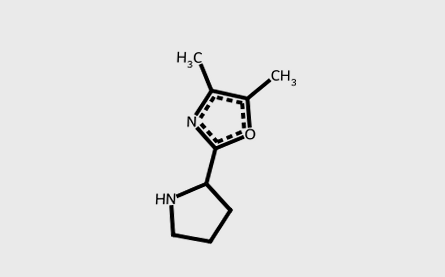 Cc1nc(C2CCCN2)oc1C